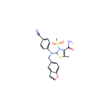 CC1=C(C(N)=O)N(S(C)(=O)=O)C(N(Cc2ccc3occc3c2)c2ccc(C#N)cc2)S1